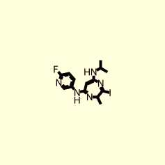 CC(C)NC1=CC(Nc2ccc(F)nc2)=NC(C)C(I)=N1